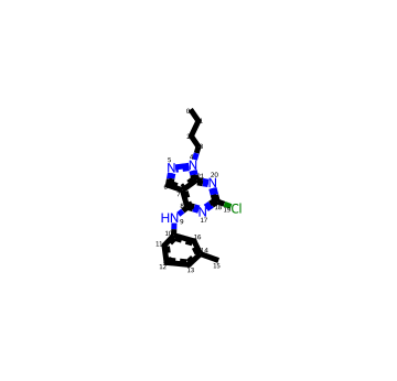 CCCCn1ncc2c(Nc3cccc(C)c3)nc(Cl)nc21